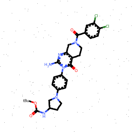 CC(C)(C)OC(=O)NC1CCN(c2ccc(-n3c(N)nc4c(c3=O)CCN(C(=O)c3ccc(Cl)c(Cl)c3)C4)cc2)C1